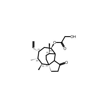 C=C[C@@H]1C[C@@H](OC(=O)CO)C2C3C(=O)CC[C@@]3(CC[C@H]2C)[C@@H](C)[C@@H]1C